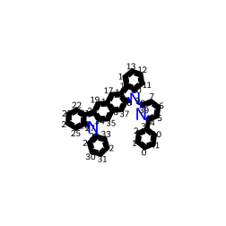 c1ccc(-c2cccc(-n3c4ccccc4c4cc5cc6c7ccccc7n(-c7ccccc7)c6cc5cc43)n2)cc1